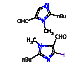 CCCCc1nc(I)c(C=O)n1C.CCCCc1ncc(C=O)n1C